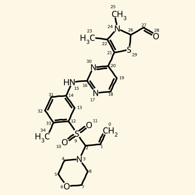 C=CC(N1CCOCC1)S(=O)(=O)c1cc(Nc2nccc(C3=C(C)N(C)C(C=O)S3)n2)ccc1C